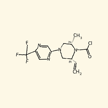 C=C[C@@H]1CN(c2cnc(C(F)(F)F)cn2)C[C@H](C)N1C(=O)Cl